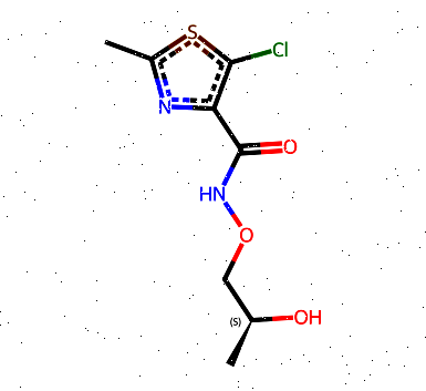 Cc1nc(C(=O)NOC[C@H](C)O)c(Cl)s1